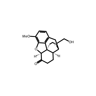 COc1ccc2c3c1O[C@@H]1C(=O)CC[C@@H]4C(C2)N(CO)CC[C@@]314